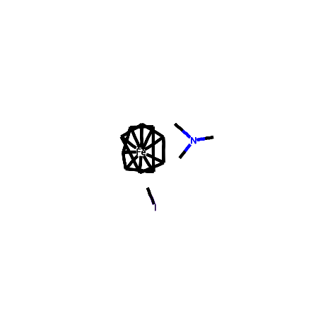 CI.CN(C)C.[CH]12[CH]3[CH]4[CH]5[CH]1[Fe]23451678[CH]2[CH]1[CH]6[CH]7[CH]28